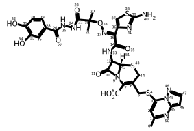 Cc1cc(SCC2=C(C(=O)O)N3C(=O)C(NC(=O)C(=NOC(C)(C)C(=O)NNC(=O)c4ccc(O)c(O)c4)c4csc(N)n4)[C@@H]3SC2)n2nccc2n1